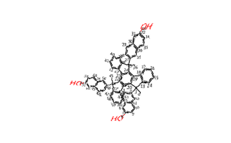 CC1(c2ccc3cc(O)ccc3c2)c2ccccc2-c2c1c1c(c3c2C(C)(c2ccc4cc(O)ccc4c2)c2ccccc2-3)C(C)(c2ccc3cc(O)ccc3c2)c2ccccc2-1